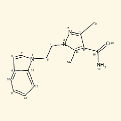 Cc1nn(CCn2ccc3ccccc32)c(C)c1C(N)=O